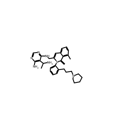 C=C1c2c(C)cccc2C=C(CNc2ncnc(N)c2C(C)N)N1c1ccccc1CCCN1CCCCC1